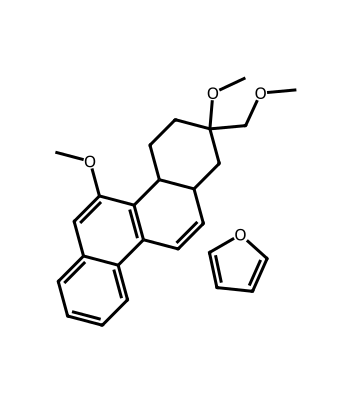 COCC1(OC)CCC2c3c(OC)cc4ccccc4c3C=CC2C1.c1ccoc1